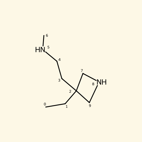 CCC1(CCNC)CNC1